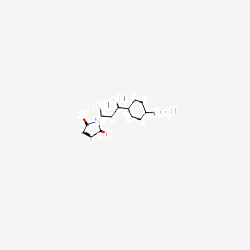 CC(CC(C)N1C(=O)C=CC1=O)C1CCC(C(=O)O)CC1